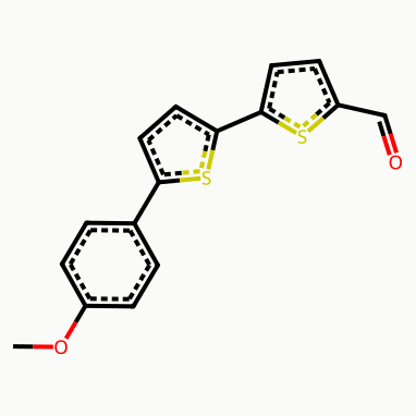 COc1ccc(-c2ccc(-c3ccc(C=O)s3)s2)cc1